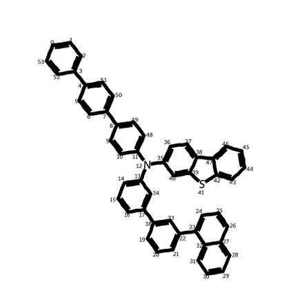 c1ccc(-c2ccc(-c3ccc(N(c4cccc(-c5cccc(-c6cccc7ccccc67)c5)c4)c4ccc5c(c4)sc4ccccc45)cc3)cc2)cc1